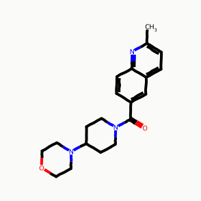 Cc1ccc2cc(C(=O)N3CCC(N4CCOCC4)CC3)ccc2n1